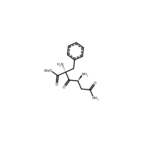 COC(=O)[C@@](N)(Cc1ccccc1)C(=O)[C@@H](N)CC(N)=O